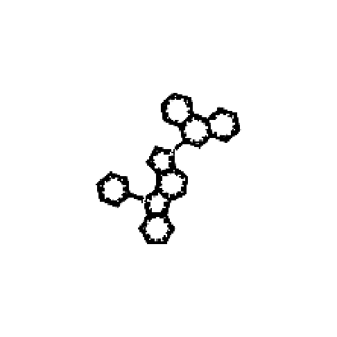 c1ccc(-n2c3ccccc3c3ccc4c(ccn4-c4cc5ccccc5c5ccccc45)c32)cc1